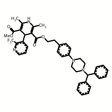 COC(=O)C1=C(C)NC(C)=C(C(=O)OCCc2ccc(N3CCN(C(c4ccccc4)c4ccccc4)CC3)cc2)C1c1cccnc1C(F)(F)F